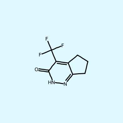 O=c1[nH]nc2c(c1C(F)(F)F)CCC2